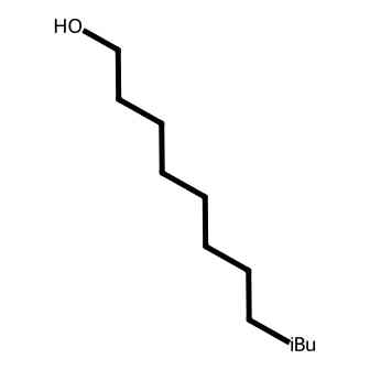 CCC(C)CCCCCCCCO